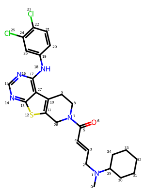 CN(CC=CC(=O)N1CCc2c(sc3ncnc(Nc4ccc(Cl)c(Cl)c4)c23)C1)C1CCCCC1